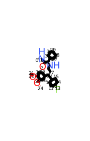 CNC(=O)[C@H](NCC[C@H](c1ccc(F)cc1)c1ccc(OC)c(OC)c1)c1ccccc1